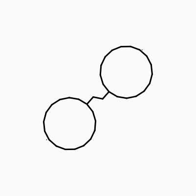 [CH]1CCCCCCCCC(CCC2CCCCCCC[CH]CCCCCCCC2)CCCCCCC1